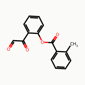 Cc1ccccc1C(=O)Oc1ccccc1C(=O)C=O